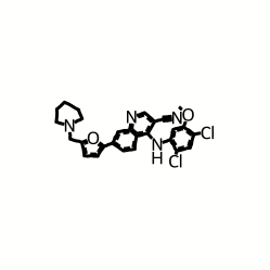 COc1cc(Nc2c(C#N)cnc3cc(-c4ccc(CN5CCCCC5)o4)ccc23)c(Cl)cc1Cl